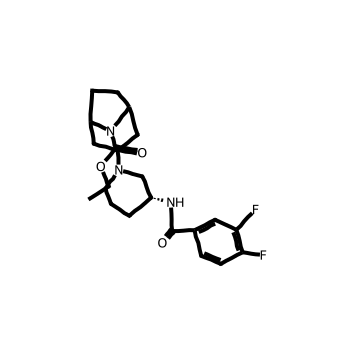 CCOC(=O)N1C2CCC1CC(N1CCC[C@@H](NC(=O)c3ccc(F)c(F)c3)C1)C2